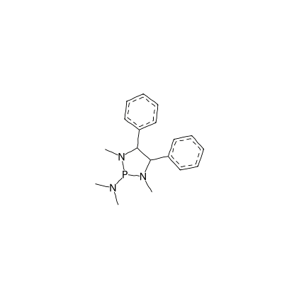 CN(C)P1N(C)C(c2ccccc2)C(c2ccccc2)N1C